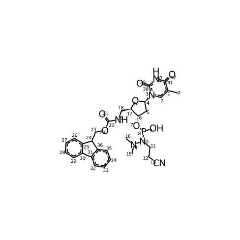 Cc1cn([C@H]2C[C@H](OP(O)N(CCC#N)N(C)C)[C@@H](CNC(=O)OCC3c4ccccc4-c4ccccc43)O2)c(=O)[nH]c1=O